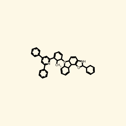 CC1C(c2cc(-c3ccccc3)cc(-c3ccccc3)n2)=CC=CC1N1C2C=CC=CC2C2C3=C(C=CC21)NC(C1C=CC=CC1)O3